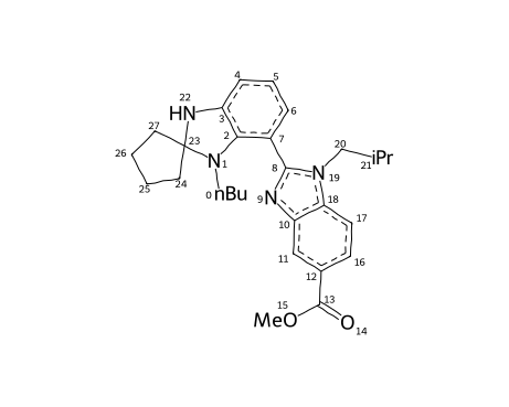 CCCCN1c2c(cccc2-c2nc3cc(C(=O)OC)ccc3n2CC(C)C)NC12CCCC2